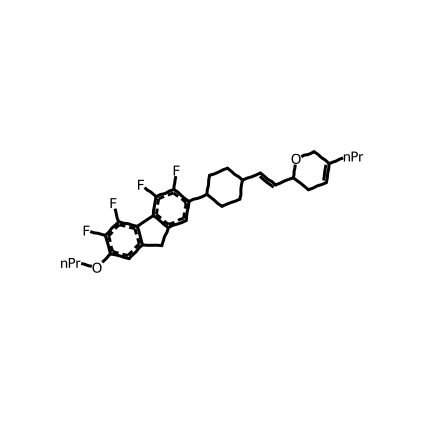 CCCOc1cc2c(c(F)c1F)-c1c(cc(C3CCC(/C=C/C4CC=C(CCC)CO4)CC3)c(F)c1F)C2